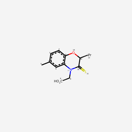 Cc1ccc2c(c1)N(CC(=O)O)C(=S)C(C(C)C)O2